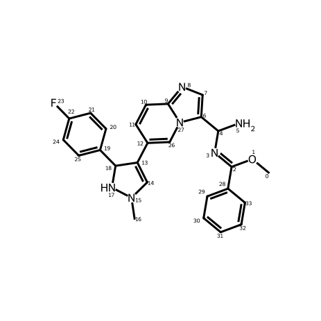 CO/C(=N\C(N)c1cnc2ccc(C3=CN(C)NC3c3ccc(F)cc3)cn12)c1ccccc1